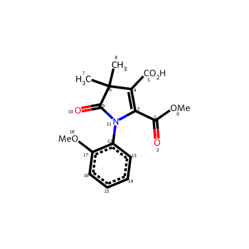 COC(=O)C1=C(C(=O)O)C(C)(C)C(=O)N1c1ccccc1OC